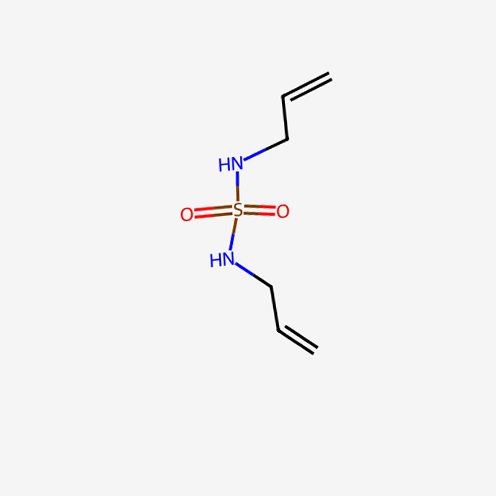 C=CCNS(=O)(=O)NCC=C